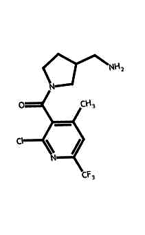 Cc1cc(C(F)(F)F)nc(Cl)c1C(=O)N1CCC(CN)C1